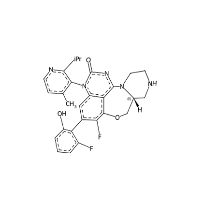 Cc1ccnc(C(C)C)c1-n1c(=O)nc2c3c(c(F)c(-c4c(O)cccc4F)cc31)OC[C@H]1CNCCN21